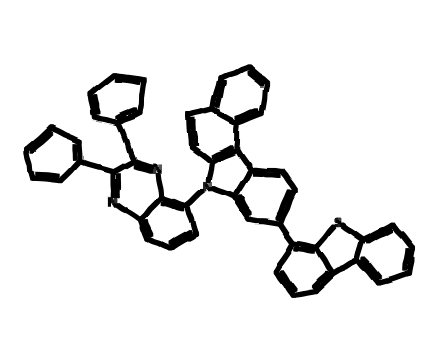 c1ccc(-c2nc3cccc(-n4c5cc(-c6cccc7c6sc6ccccc67)ccc5c5c6ccccc6ccc54)c3nc2-c2ccccc2)cc1